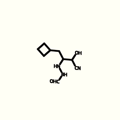 N#CC(O)C(CC1CCC1)NBC=O